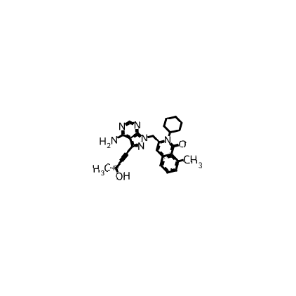 Cc1cccc2cc(Cn3nc(C#C[C@@H](C)O)c4c(N)ncnc43)n(C3CCCCC3)c(=O)c12